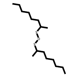 CCCCCCC(C)SOSC(C)CCCCCC